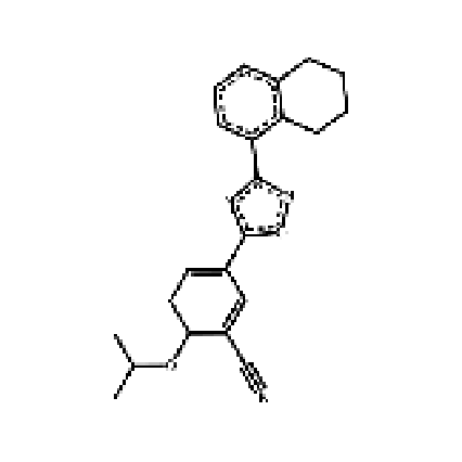 CC(C)OC1CC=C(c2nc(-c3cccc4c3CCCC4)no2)C=C1C#N